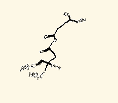 CCCCC(CC)CCC(=O)OC(=O)CC(O)(CC(=O)O)C(=O)O